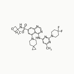 Cc1cc(Nc2ncnc3cc(S(=O)(=O)NC4(C)COC4)cc(N4CCC5(CC4)CC5)c23)nc(N2CCC(F)(F)CC2)n1